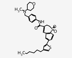 CCCCCCc1csc(-c2ccc3c(c2)C=C(C(=O)Nc2ccc(CN(C)C4CCOCC4)cc2)CCS3(=O)=O)c1